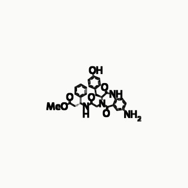 COC(=O)C[C@@H](NC(=O)CN1C(=O)c2cc(N)ccc2NC(=O)[C@@H]1Cc1ccc(O)cc1)c1ccccc1